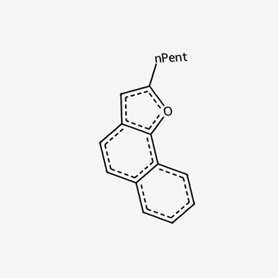 CCCCCc1cc2ccc3ccccc3c2o1